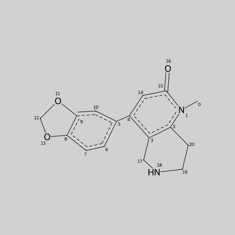 Cn1c2c(c(-c3ccc4c(c3)OCO4)cc1=O)CNCC2